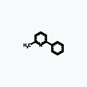 Cc1cccc(-c2ccccc2)n1